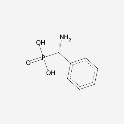 N[C@H](c1ccccc1)P(=O)(O)O